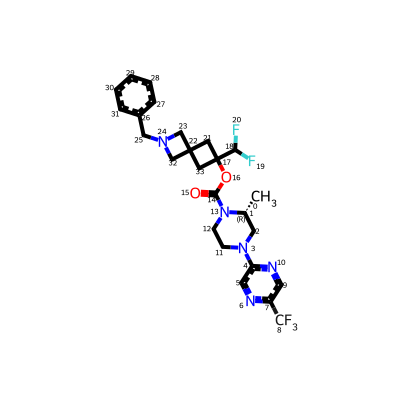 C[C@@H]1CN(c2cnc(C(F)(F)F)cn2)CCN1C(=O)OC1(C(F)F)CC2(CN(Cc3ccccc3)C2)C1